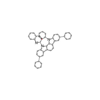 c1ccc(-c2ccc3c(c2)c2ccc4c5cc(-c6ccccc6)ccc5n(-c5ccc6ccccc6n5)c4c2n3-c2ccccc2)cc1